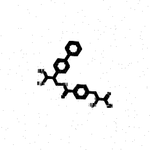 CC(C)C(CNC(=O)c1ccc(C[C@H](N)C(=O)O)cc1)c1ccc(-c2ccccc2)cc1